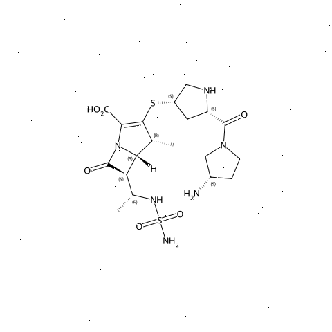 C[C@@H](NS(N)(=O)=O)[C@H]1C(=O)N2C(C(=O)O)=C(S[C@@H]3CN[C@H](C(=O)N4CC[C@H](N)C4)C3)[C@H](C)[C@H]12